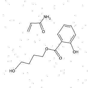 C=CC(N)=O.O=C(OCCCCO)c1ccccc1O